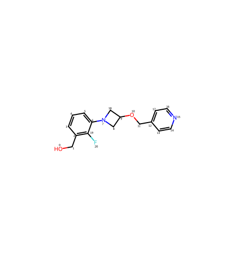 OCc1cccc(N2CC(OCc3ccncc3)C2)c1F